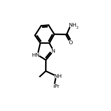 CC(C)NC(C)c1nc2c(C(N)=O)cccc2[nH]1